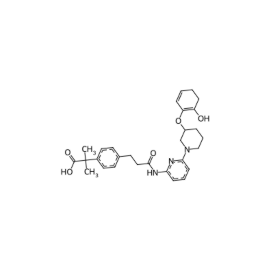 CC(C)(C(=O)O)c1ccc(CCC(=O)Nc2cccc(N3CCCC(OC4=C(O)CCC=C4)C3)n2)cc1